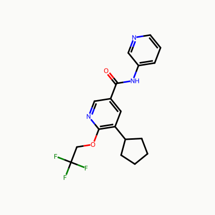 O=C(Nc1cccnc1)c1cnc(OCC(F)(F)F)c(C2CCCC2)c1